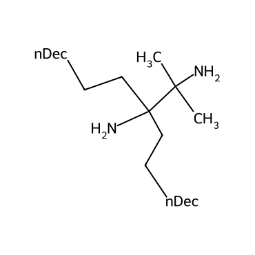 CCCCCCCCCCCCC(N)(CCCCCCCCCCCC)C(C)(C)N